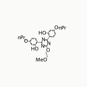 CCCOc1ccc(-c2nc(OCCOC)nc(-c3ccc(OCCC)cc3O)n2)c(O)c1